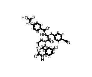 N#Cc1ccc(C[C@H](NC(=O)c2ccc(NC(=O)O)cc2)C(=O)N2CCC[C@@]3(C2)OC(=O)Nc2ccc(Cl)cc23)cc1